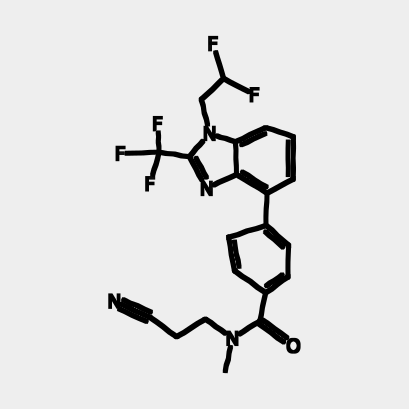 CN(CCC#N)C(=O)c1ccc(-c2cccc3c2nc(C(F)(F)F)n3CC(F)F)cc1